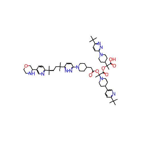 CC(C)(C)c1ccc(C2CCN(C(C)(OC(=O)CC3CCN(c4ccc(C(C)(C)CCC(C)(C)c5ccc(C6COCCN6)cn5)nn4)CC3)C(=O)OC(C)(C(=O)O)C3CCN(c4ccc(C(C)(C)C)nn4)CC3)CC2)cn1